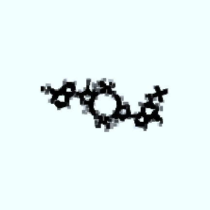 CC(C)(C)Nc1nc2c(ncn2[C@H]2C[C@@H]3OP(=O)(S)OC[C@H]4O[C@@H](n5cnc6c(N)ncnc65)[C@H](F)[C@@H]4OP(=O)(S)OCC3O2)c(=O)[nH]1